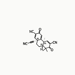 CC1(C)C(=O)C(C#N)=C[C@]2(C)C3=CC(=O)C(C#N)=C[C@]3(C#CC#N)CC[C@@H]12